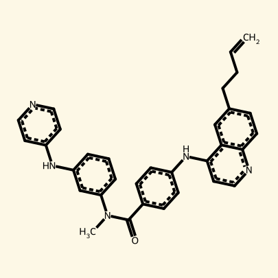 C=CCCc1ccc2nccc(Nc3ccc(C(=O)N(C)c4cccc(Nc5ccncc5)c4)cc3)c2c1